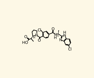 CC(C(=O)O)[C@H]1CCCN1C(=O)c1ccc(C(=O)N[C@@H](C)c2nc3cc(Cl)ccc3[nH]2)cc1Cl